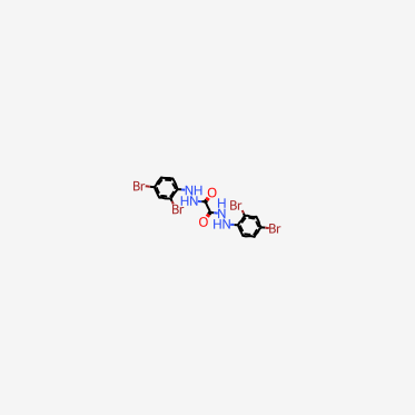 O=C(NNc1ccc(Br)cc1Br)C(=O)NNc1ccc(Br)cc1Br